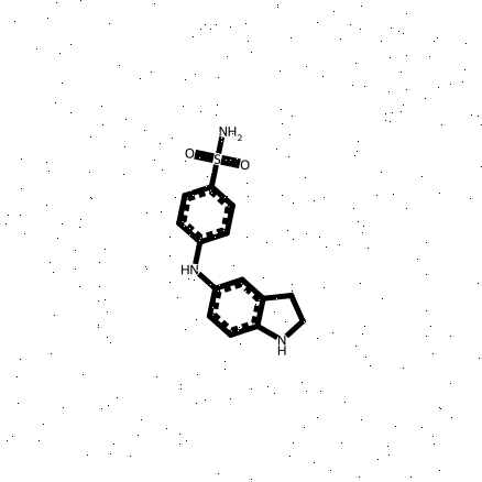 NS(=O)(=O)c1ccc(Nc2ccc3c(c2)CCN3)cc1